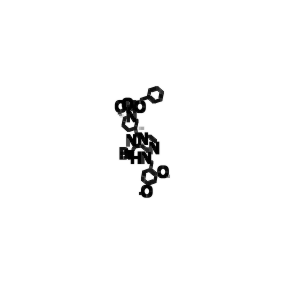 COc1ccc(CNc2nccn3c([C@@]4(C)CC[C@H](CO)N(C(=O)OCc5ccccc5)C4)nc(Br)c23)c(OC)c1